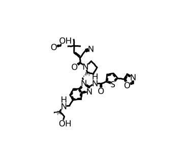 C[C@H](CO)NCc1ccc2c(c1)nc(NC(=O)c1ccc(-c3cnco3)s1)n2C[C@H]1CCCN1C(=O)C(C#N)=CC(C)(C)C.O=CO